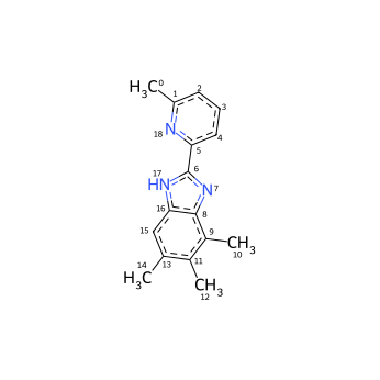 Cc1cccc(-c2nc3c(C)c(C)c(C)cc3[nH]2)n1